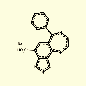 O=C(O)c1cc2c(-c3ccccc3)nccnc2c2cnnc12.[Na]